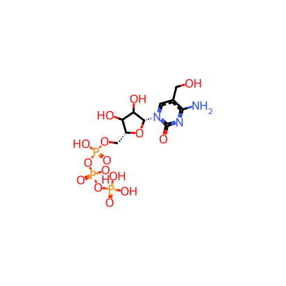 Nc1nc(=O)n([C@@H]2O[C@H](COP(=O)(O)OP(=O)(O)OP(=O)(O)O)C(O)C2O)cc1CO